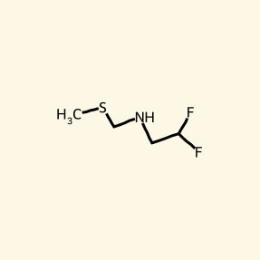 CSCNCC(F)F